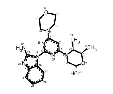 C[C@H]1OCCN(c2cc(N3CCOCC3)nc(-n3c(N)nc4ccccc43)n2)[C@H]1C.Cl